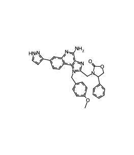 COc1ccc(Cn2c(CN3C(=O)OCC3c3ccccc3)nc3c(N)nc4cc(-c5cc[nH]n5)ccc4c32)cc1